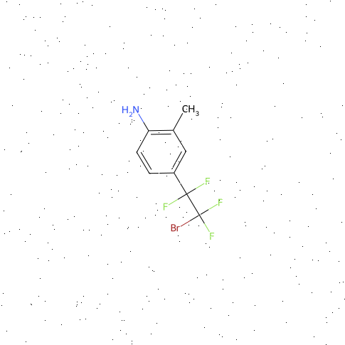 Cc1cc(C(F)(F)C(F)(F)Br)ccc1N